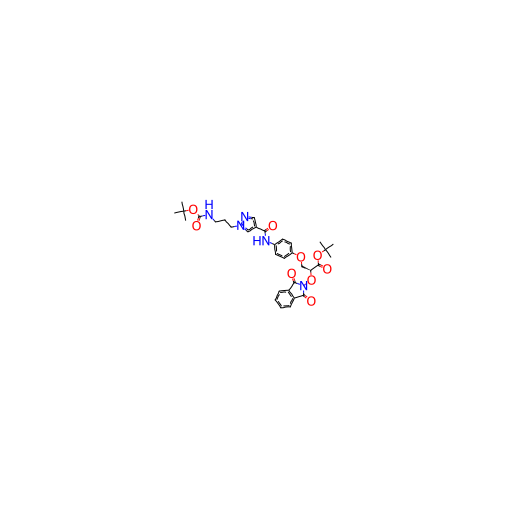 CC(C)(C)OC(=O)NCCCn1cc(C(=O)Nc2ccc(OC[C@H](ON3C(=O)c4ccccc4C3=O)C(=O)OC(C)(C)C)cc2)cn1